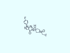 O=C(CC1CC1)N1CCC(O)(Cn2cnc3c(cnn3-c3ccc(F)cc3)c2=O)CC1